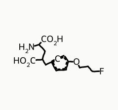 NC(CC(Cc1ccc(OCCCF)cc1)C(=O)O)C(=O)O